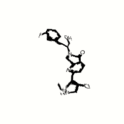 CN1NCC(Cl)=C1c1ccc2c(n1)CN([C@H](CO)Cc1cccc(F)c1)C2=O